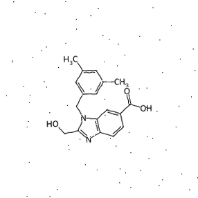 Cc1cc(C)cc(Cn2c(CO)nc3ccc(C(=O)O)cc32)c1